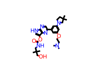 CN(C)CCOc1cc(-c2cnc3[nH]cc(OC(=O)NCC(C)(C)CO)c3n2)cc(N2CCC(C)(C)C2)c1